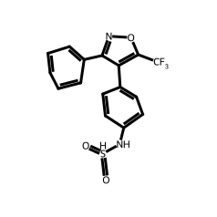 O=[SH](=O)Nc1ccc(-c2c(-c3ccccc3)noc2C(F)(F)F)cc1